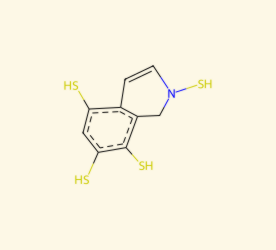 Sc1cc(S)c2c(c1S)CN(S)C=C2